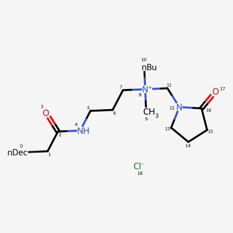 CCCCCCCCCCCC(=O)NCCC[N+](C)(CCCC)CN1CCCC1=O.[Cl-]